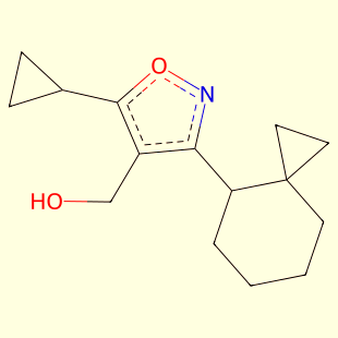 OCc1c(C2CCCCC23CC3)noc1C1CC1